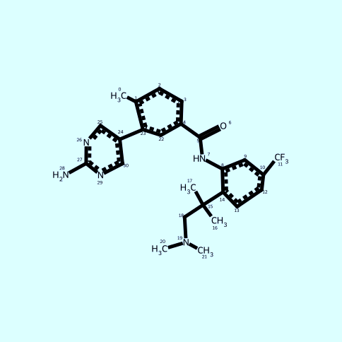 Cc1ccc(C(=O)Nc2cc(C(F)(F)F)ccc2C(C)(C)CN(C)C)cc1-c1cnc(N)nc1